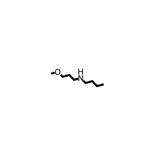 CCCCNCCCOC